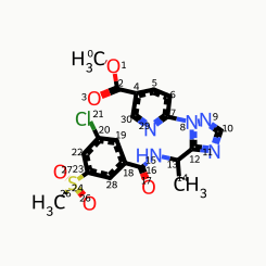 COC(=O)c1ccc(-n2ncnc2C(C)NC(=O)c2cc(Cl)cc(S(C)(=O)=O)c2)nc1